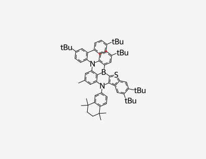 Cc1cc2c3c(c1)N(c1ccc4c(c1)C(C)(C)CCC4(C)C)c1c(sc4cc(C(C)(C)C)c(C(C)(C)C)cc14)B3c1cc(C(C)(C)C)ccc1N2c1ccc(C(C)(C)C)cc1-c1ccc(C(C)(C)C)cc1